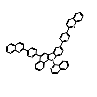 c1ccc2nc(-c3ccc(-c4ccc5c(c4)c4cc(-c6ccc(-c7ccc8ccccc8n7)cn6)c6ccccc6c4n5-c4nccc5ccccc45)nc3)ccc2c1